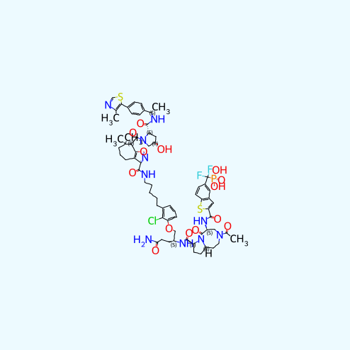 CC(=O)N1CC[C@H]2CC[C@@H](C(=O)N[C@@H](CCC(N)=O)COc3cccc(CCCCCNC(=O)c4noc5c4CCCC(C)(C)[C@H]5C(=O)N4C[C@H](O)C[C@H]4C(=O)N[C@@H](C)c4ccc(-c5scnc5C)cc4)c3Cl)N2C(=O)[C@@H](NC(=O)c2cc3cc(C(F)(F)P(=O)(O)O)ccc3s2)C1